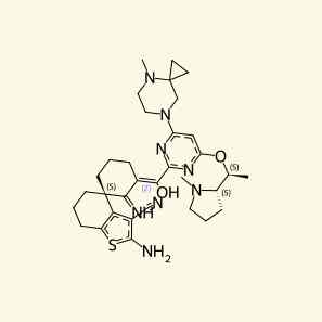 C[C@H](Oc1cc(N2CCN(C)C3(CC3)C2)nc(/C(O)=C2\CCC[C@@]3(CCCc4sc(N)c(C#N)c43)C2=N)n1)[C@@H]1CCCN1C